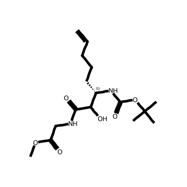 C=CCCC[C@H](NC(=O)OC(C)(C)C)C(O)C(=O)NCC(=O)OC